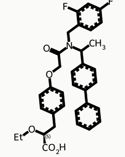 CCO[C@@H](Cc1ccc(OCC(=O)N(Cc2ccc(F)cc2F)C(C)c2ccc(-c3ccccc3)cc2)cc1)C(=O)O